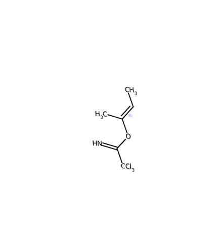 C/C=C(\C)OC(=N)C(Cl)(Cl)Cl